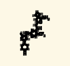 Cc1nn(C2CCNCC2)cc1Nc1ncc(C(F)(F)F)c(NCCCC2(C(N)=O)CCC2)n1